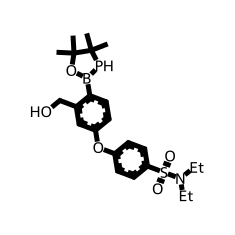 CCN(CC)S(=O)(=O)c1ccc(Oc2ccc(B3OC(C)(C)C(C)(C)P3)c(CO)c2)cc1